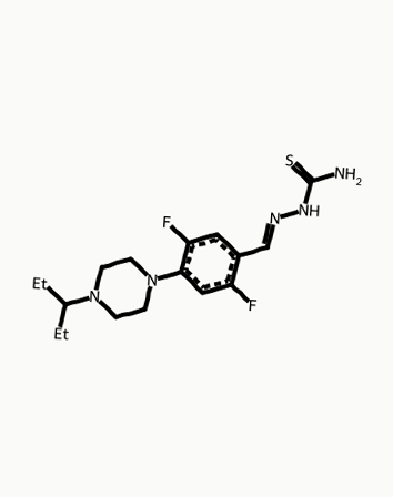 CCC(CC)N1CCN(c2cc(F)c(C=NNC(N)=S)cc2F)CC1